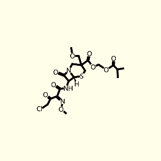 COCC1(C(=O)OCOC(=O)C(C)C)CS[C@@H]2C(NC(=O)C(=NOC)C(=O)CCl)C(=O)N2C1